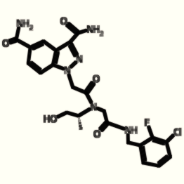 C[C@H](CO)N(CC(=O)NCc1cccc(Cl)c1F)C(=O)Cn1nc(C(N)=O)c2cc(C(N)=O)ccc21